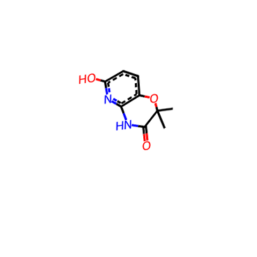 CC1(C)Oc2ccc(O)nc2NC1=O